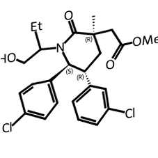 CCC(CO)N1C(=O)[C@@](C)(CC(=O)OC)C[C@H](c2cccc(Cl)c2)[C@H]1c1ccc(Cl)cc1